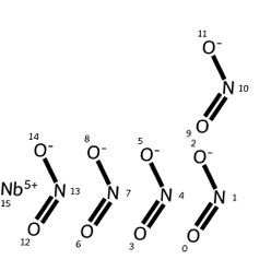 O=N[O-].O=N[O-].O=N[O-].O=N[O-].O=N[O-].[Nb+5]